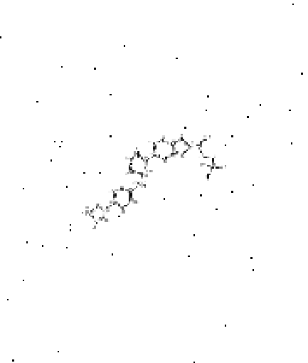 O=C(C1CC(F)(F)C1)n1cc2ccc(-c3nccc(Nc4ccc(-c5cn[nH]c5)cn4)n3)cc2c1